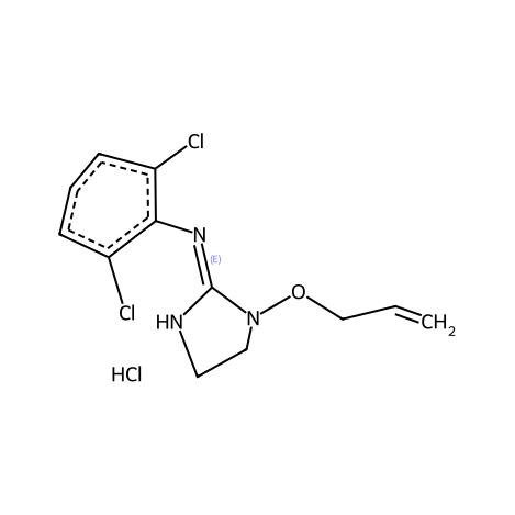 C=CCON1CCN/C1=N\c1c(Cl)cccc1Cl.Cl